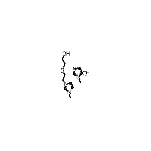 C[n+]1ccn(CCOCCO)c1.Cn1ccnc1.[Cl-]